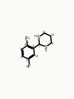 Fc1ccc(F)c(C2SCCCS2)c1